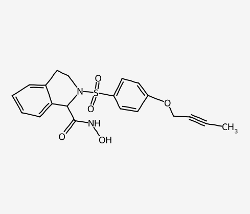 CC#CCOc1ccc(S(=O)(=O)N2CCc3ccccc3C2C(=O)NO)cc1